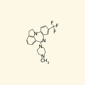 CN1CCN(C2=Nc3cc(C(F)(F)F)ccc3N3CCc4cccc2c43)CC1